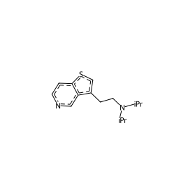 CC(C)N(CCc1csc2ccncc12)C(C)C